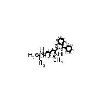 CC(C)NCCCCC(NC(C)C)C(=O)NC(c1ccccc1)c1ccccc1